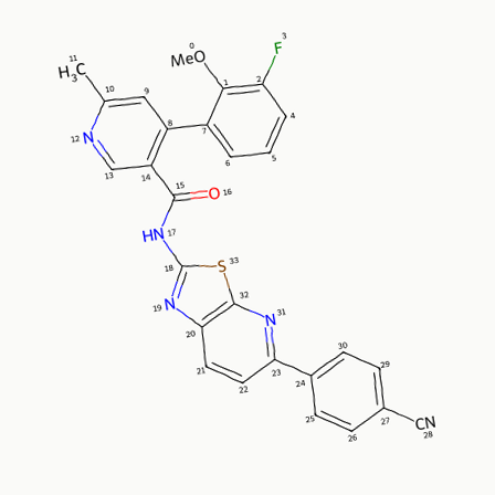 COc1c(F)cccc1-c1cc(C)ncc1C(=O)Nc1nc2ccc(-c3ccc(C#N)cc3)nc2s1